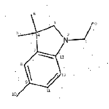 CCN1CC(C)(C)c2cc(C)ccc21